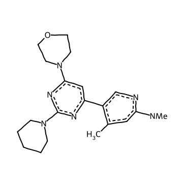 CNc1cc(C)c(-c2cc(N3CCOCC3)nc(N3CCCCC3)n2)cn1